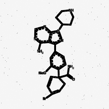 COc1cc(-c2nn(C3CCNCC3)c3ncnc(N)c23)ccc1C1(C(N)=O)C=CC(Br)=CC1